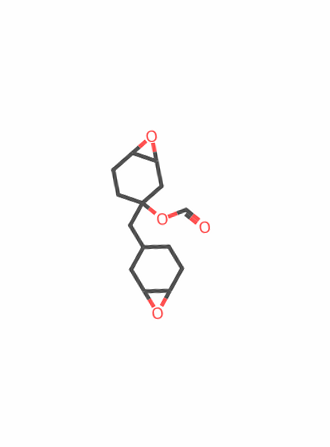 O=COC1(CC2CCC3OC3C2)CCC2OC2C1